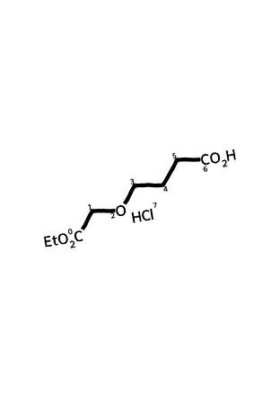 CCOC(=O)COCCCC(=O)O.Cl